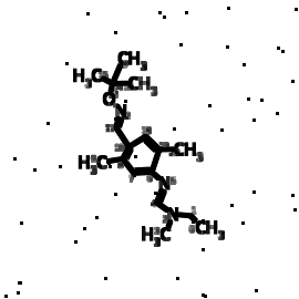 CCN(C)C=Nc1cc(C)c(/C=N/OC(C)(C)C)cc1C